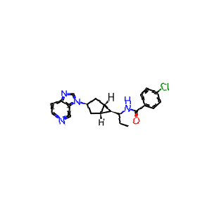 CCC(NC(=O)c1ccc(Cl)cc1)[C@H]1[C@@H]2C[C@@H](n3cnc4ccncc43)C[C@@H]21